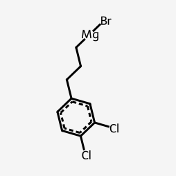 Clc1ccc(CC[CH2][Mg][Br])cc1Cl